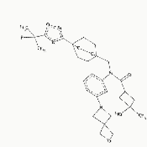 CC(C)(F)c1nc(C23CCC(CN(C(=O)C4CC(O)(C(F)(F)F)C4)c4cccc(N5CC6(COC6)C5)c4)(CC2)CC3)no1